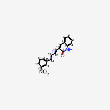 O=c1[nH]c2ccccc2cc1/C=C/C=C/c1cccc([N+](=O)[O-])c1